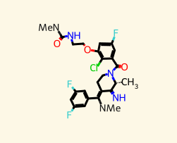 CNC(=O)NCCOc1cc(F)cc(C(=O)N2CC/C(=C(/NC)c3cc(F)cc(F)c3)C(=N)[C@H]2C)c1Cl